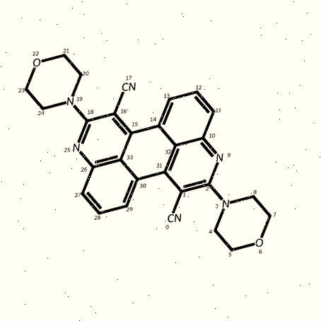 N#Cc1c(N2CCOCC2)nc2cccc3c4c(C#N)c(N5CCOCC5)nc5cccc(c1c23)c54